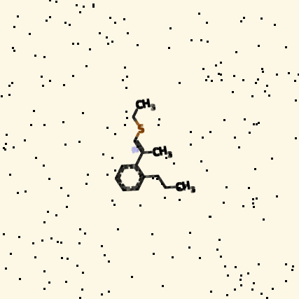 CCCc1ccccc1/C(C)=C/SCC